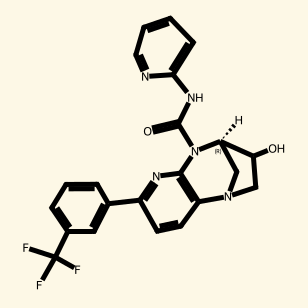 O=C(Nc1ccccn1)N1c2nc(-c3cccc(C(F)(F)F)c3)ccc2N2CC(O)[C@H]1C2